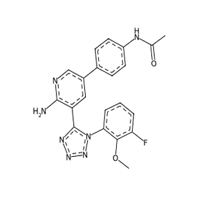 COc1c(F)cccc1-n1nnnc1-c1cc(-c2ccc(NC(C)=O)cc2)cnc1N